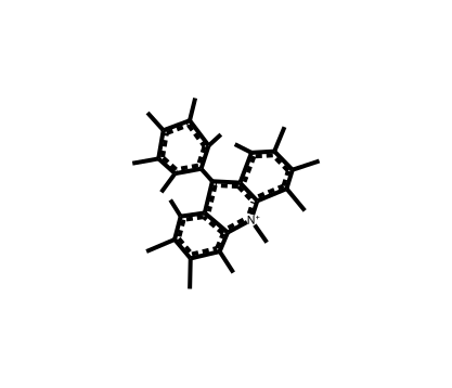 Cc1c(C)c(C)c(-c2c3c(C)c(C)c(C)c(C)c3[n+](C)c3c(C)c(C)c(C)c(C)c23)c(C)c1C